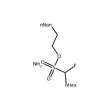 CCCCCCCCCCCOS(=O)(=O)C(F)CCCCCC.N